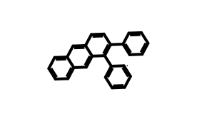 [c]1ccccc1-c1c(-c2ccccc2)ccc2cc3ccccc3cc12